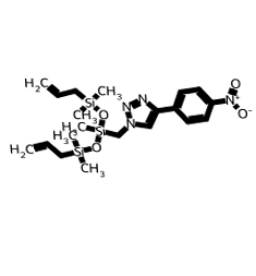 C=CC[Si](C)(C)O[Si](C)(Cn1cc(-c2ccc([N+](=O)[O-])cc2)nn1)O[Si](C)(C)CC=C